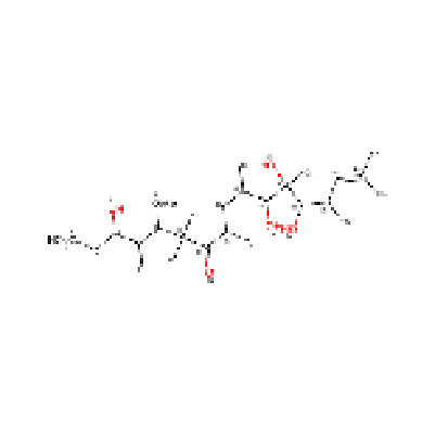 COC(C(C)C(O)CC(=O)O)C(C)(C)C(=O)C(C)CC(C)C(O)C(C)(O)C(O)C(C)C=C(C)C